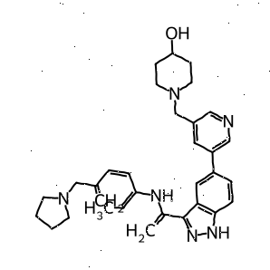 C=C(/C=C\C(=C/C)NC(=C)c1n[nH]c2ccc(-c3cncc(CN4CCC(O)CC4)c3)cc12)CN1CCCC1